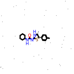 Cc1ccc([C@H]2SC(=NC(=O)NC3CCCCC3)N[C@@H]2C)cc1